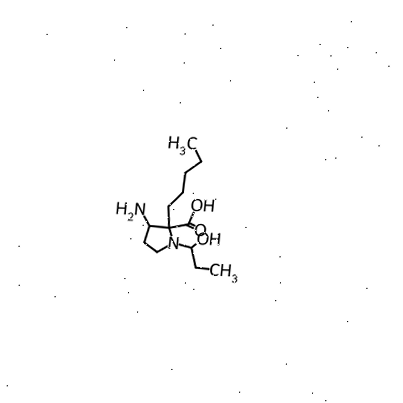 CCCCCC1(C(=O)O)C(N)CCN1C(O)CC